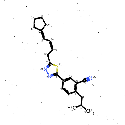 CC(C)Cc1ccc(-c2nnc(C/C=C\C=C3CCCC3)s2)cc1C#N